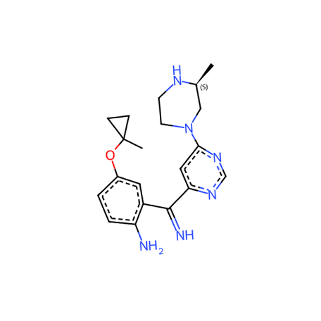 C[C@H]1CN(c2cc(C(=N)c3cc(OC4(C)CC4)ccc3N)ncn2)CCN1